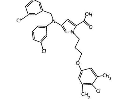 Cc1cc(OCCCn2cc(N(Cc3cccc(Cl)c3)c3cccc(Cl)c3)cc2C(=O)O)cc(C)c1Cl